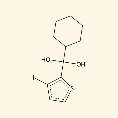 OC(O)(c1sccc1I)C1CCCCC1